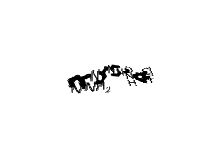 Nc1ncccc1CN1CCCC(CN2CCN(C(=O)Nc3ccc(F)c(Cl)c3)CC2)C1